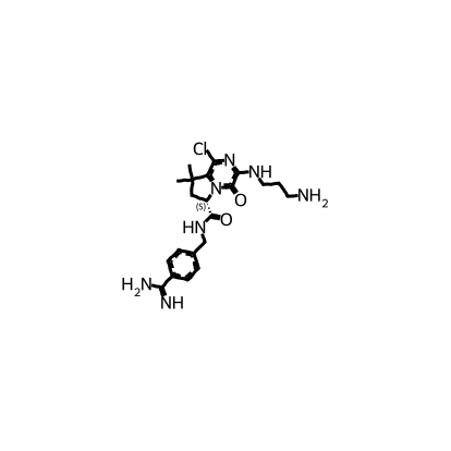 CC1(C)C[C@@H](C(=O)NCc2ccc(C(=N)N)cc2)n2c1c(Cl)nc(NCCCN)c2=O